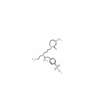 CCCN(CCCCN1CCCN(C)CC1=O)C(C)Cc1ccc(S(C)(=O)=O)cc1